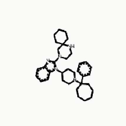 c1ccc(C2(N3CCC(n4c(N5CCNC6(CCCCC6)C5)nc5ccccc54)CC3)CCCCCC2)cc1